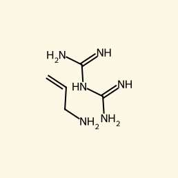 C=CCN.N=C(N)NC(=N)N